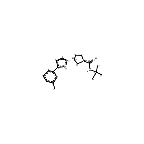 Cc1cccc(-c2ccn([C@@H]3CCN(C(=O)OC(C)(C)C)C3)n2)n1